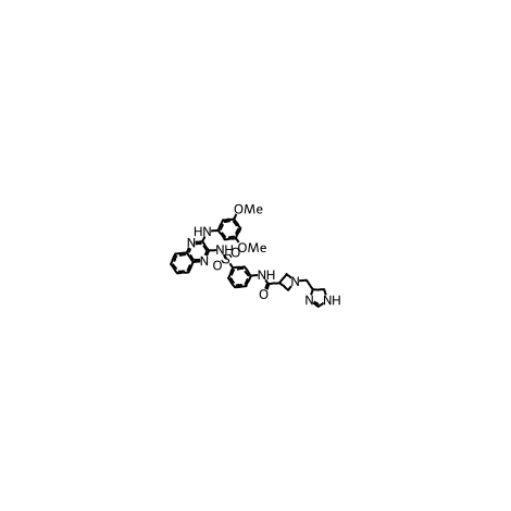 COc1cc(Nc2nc3ccccc3nc2NS(=O)(=O)c2cccc(NC(=O)C3CN(CC4CNC=N4)C3)c2)cc(OC)c1